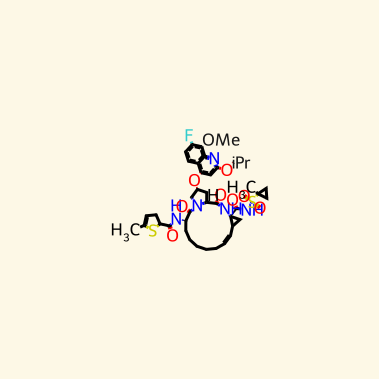 COc1c(F)ccc2c(O[C@@H]3C[C@H]4C(=O)N[C@]5(C(=O)NS(=O)(=O)C6(C)CC6)CC5/C=C\CCCCC[C@H](NC(=O)C5CC=C(C)S5)C(=O)N4C3)cc(OC(C)C)nc12